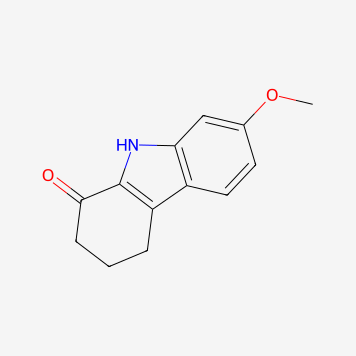 COc1ccc2c3c([nH]c2c1)C(=O)CCC3